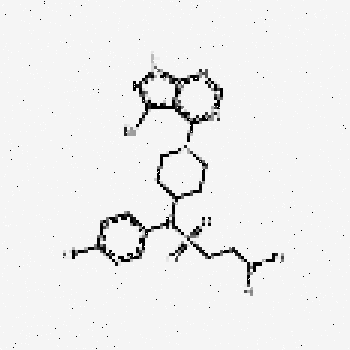 CCN(CC)CCS(=O)(=O)N(c1ccc(Cl)cc1)C1CCN(c2ncnc3[nH]nc(Br)c23)CC1